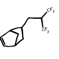 FC(F)(F)[C]([CH]C1CC2C=CC1C2)C(F)(F)F